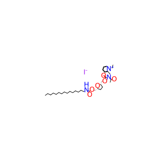 CCCCCCCCCCCCCCCNC(=O)OC[C@H]1CC[C@@H](COC(=O)N(Cc2cccc[n+]2CC)C(C)=O)O1.[I-]